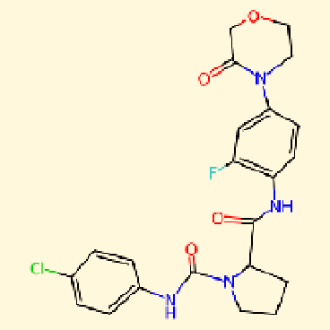 O=C(Nc1ccc(N2CCOCC2=O)cc1F)C1CCCN1C(=O)Nc1ccc(Cl)cc1